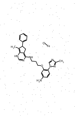 CC1=C2NC=NC(NCCCOc3cc(N)ccc3-n3cnc(C)n3)=C2CC1c1ccccc1.[Cl][Fe]